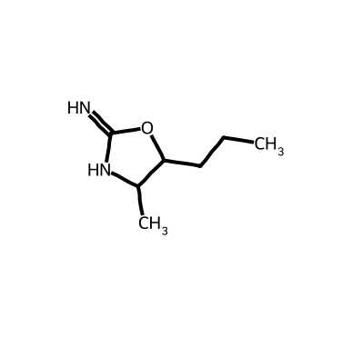 CCCC1OC(=N)NC1C